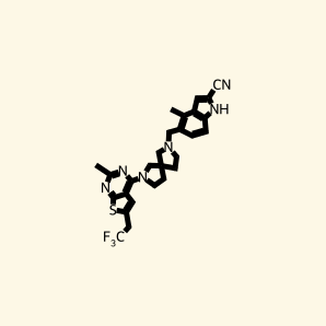 Cc1nc(N2CCC3(CCN(Cc4ccc5[nH]c(C#N)cc5c4C)C3)C2)c2cc(CC(F)(F)F)sc2n1